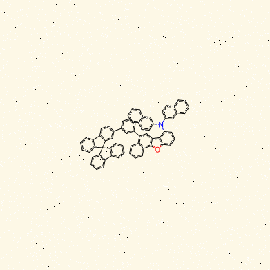 c1cc(-c2ccc3c(c2)C2(c4ccccc4-c4ccccc42)c2ccccc2-3)cc(-c2cc3c(oc4cccc(N(c5ccc6ccccc6c5)c5ccc6ccccc6c5)c43)c3ccccc23)c1